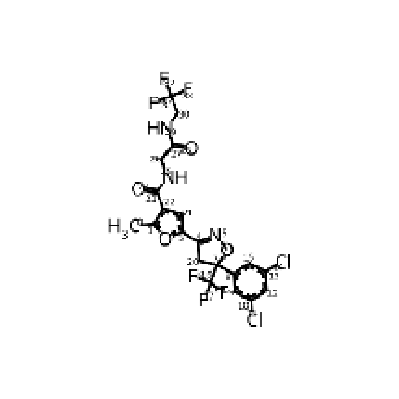 Cc1oc(C2=NOC(c3cc(Cl)cc(Cl)c3)(C(F)(F)F)C2)cc1C(=O)NCC(=O)NCC(F)(F)F